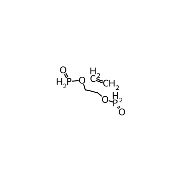 C=C.O=[PH2]OCCO[PH2]=O